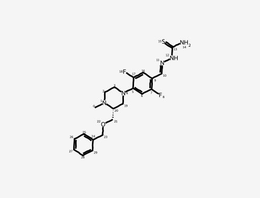 CN1CCN(c2cc(F)c(/C=N/NC(N)=S)cc2F)C[C@@H]1COCc1ccccc1